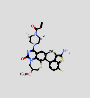 C=CC(=O)N1[C@H](C)CN(c2nc(=O)n3c4c(c(-c5ccc(F)c6sc(N)c(C#N)c56)c(C(F)(F)F)cc24)SCC(OC(C)(C)C)C3)C[C@@H]1C